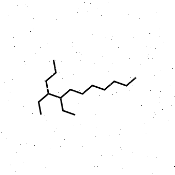 CC[CH]C(CC)C(CC)CCCCCCC